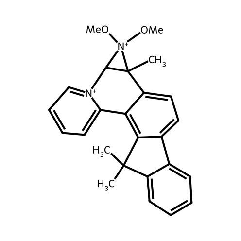 CO[N+]1(OC)C2[n+]3ccccc3-c3c(ccc4c3C(C)(C)c3ccccc3-4)C21C